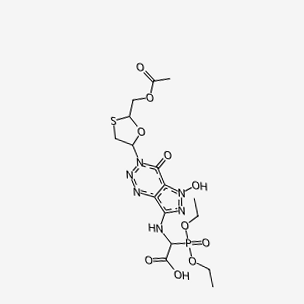 CCOP(=O)(OCC)C(Nc1nn(O)c2c(=O)n(C3CSC(COC(C)=O)O3)nnc12)C(=O)O